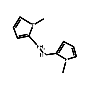 Cp1cccc1P[PH3]c1cccp1C